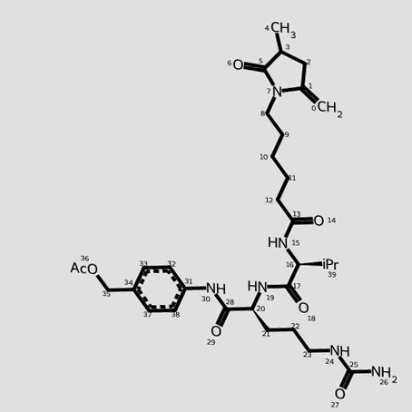 C=C1CC(C)C(=O)N1CCCCCC(=O)N[C@H](C(=O)N[C@@H](CCCNC(N)=O)C(=O)Nc1ccc(COC(C)=O)cc1)C(C)C